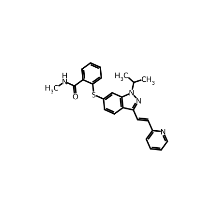 CNC(=O)c1ccccc1Sc1ccc2c(/C=C/c3ccccn3)nn(C(C)C)c2c1